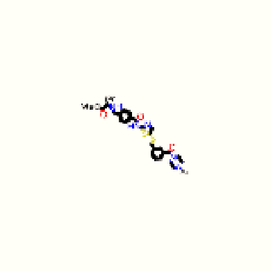 COC(=O)[C@H](NCc1ccc(C(=O)Nc2ncc(SCc3cccc(C(=O)N4CCN(C(C)=O)CC4)c3)s2)cc1)C(C)C